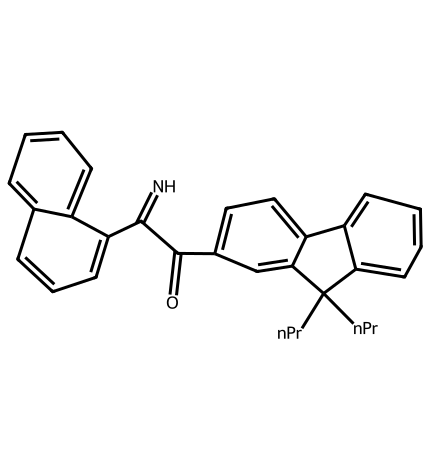 CCCC1(CCC)c2ccccc2-c2ccc(C(=O)C(=N)c3cccc4ccccc34)cc21